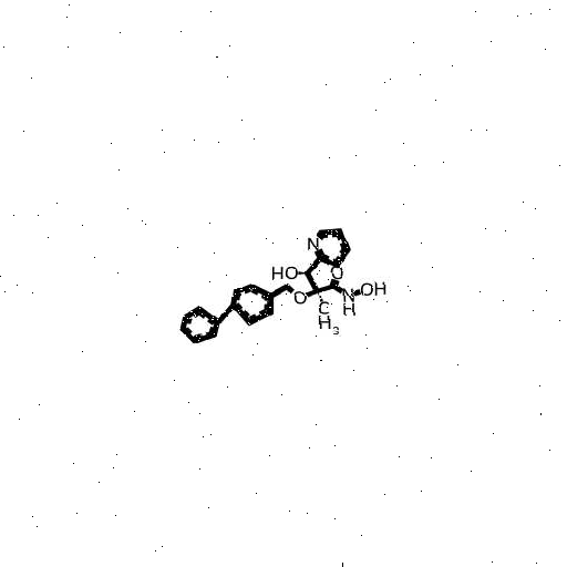 C[C@@](OCc1ccc(-c2ccccc2)cc1)(C(=O)NO)[C@@H](O)c1ccccn1